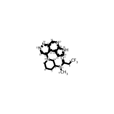 CN(C(=O)CC(F)(F)F)C1CCCN(c2cnnc3cnc4[nH]ccc4c23)C1